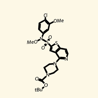 COc1cc(N(OC)S(=O)(=O)c2cc3c(N4CCN(C(=O)OC(C)(C)C)CC4)nccc3s2)ccc1Cl